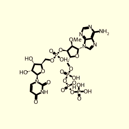 CO[C@@H]1[C@H](OP(=O)(O)OC[C@H]2O[C@@H](n3ccc(=O)[nH]c3=O)[C@H](O)[C@@H]2O)[C@@H](COP(=O)(O)OP(=O)(O)OP(=O)(O)O)O[C@H]1n1cnc2c(N)ncnc21